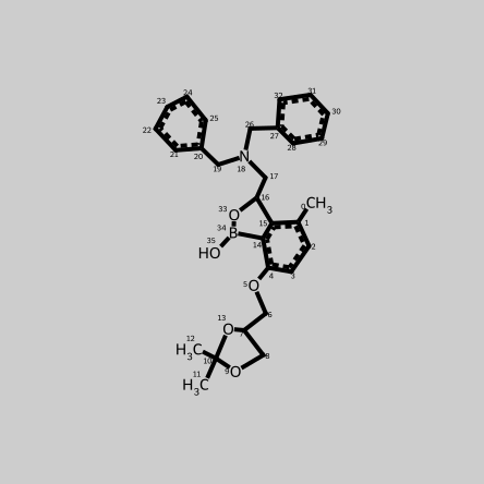 Cc1ccc(OCC2COC(C)(C)O2)c2c1C(CN(Cc1ccccc1)Cc1ccccc1)OB2O